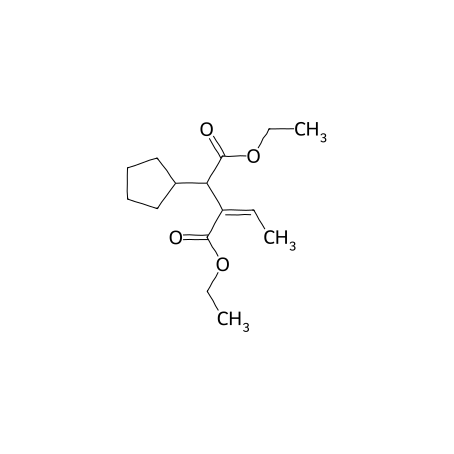 CC=C(C(=O)OCC)C(C(=O)OCC)C1CCCC1